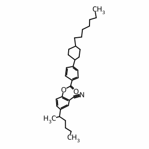 CCCCCCCC1CCC(c2ccc(C(=O)Oc3ccc(C(C)CCCC)cc3C#N)cc2)CC1